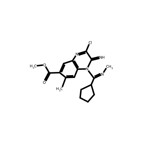 C/N=C(/C1CCCC1)n1c(=N)c(Cl)nc2cc(C(=O)OC)c(C)cc21